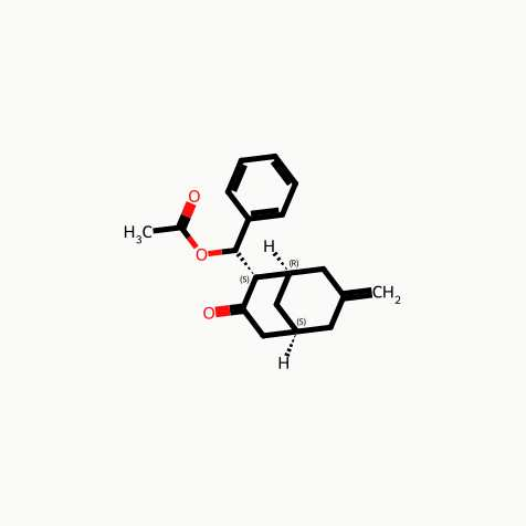 C=C1C[C@H]2CC(=O)[C@H](C(OC(C)=O)c3ccccc3)[C@@H](C1)C2